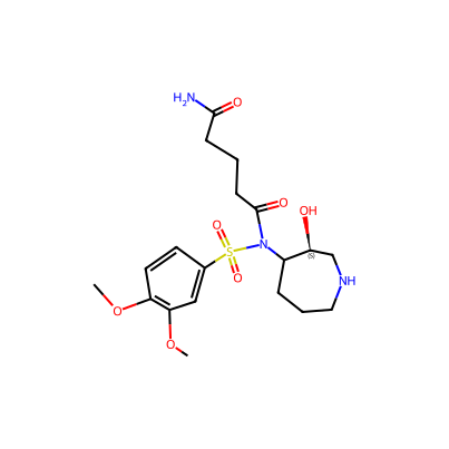 COc1ccc(S(=O)(=O)N(C(=O)CCCC(N)=O)C2CCCNC[C@@H]2O)cc1OC